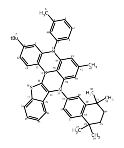 Cc1cccc(N2c3cc(C(C)(C)C)ccc3B3c4sc5ccccc5c4N(c4ccc5c(c4)C(C)(C)CCC5(C)C)c4cc(C)cc2c43)c1